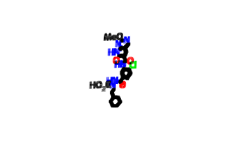 COc1ncc2cc(C(=O)Nc3cc(C(=O)NN(CCC4CCCCC4)C(=O)O)ccc3Cl)c(=O)[nH]c2n1